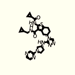 O=C(NCC1CC1)c1c(NC(=O)C2CC2)sc2c1C[C@@H](n1cnnc1N[C@H]1CCN(c3cnccn3)C1)CC2